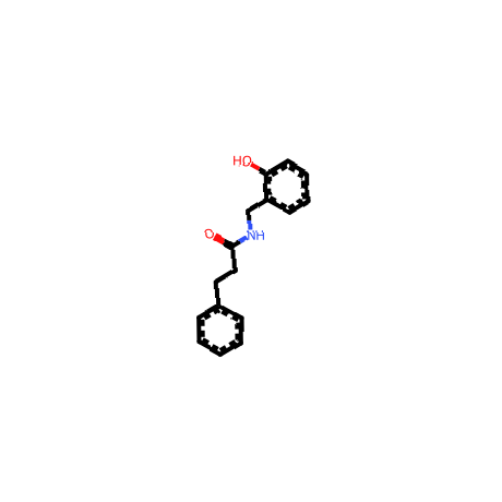 O=C(CCc1ccccc1)NCc1ccccc1O